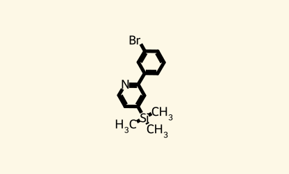 C[Si](C)(C)c1ccnc(-c2cccc(Br)c2)c1